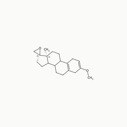 COC1=CCC2=C(CCC3C2CC[C@@]2(C)C3CC[C@@]23CO3)C1